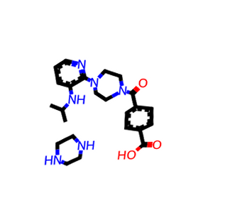 C1CNCCN1.CC(C)Nc1cccnc1N1CCN(C(=O)c2ccc(C(=O)O)cc2)CC1